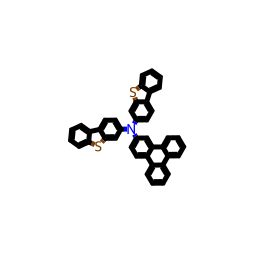 c1ccc2c(c1)sc1cc(N(c3ccc4c(c3)sc3ccccc34)c3ccc4c5ccccc5c5ccccc5c4c3)ccc12